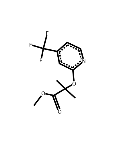 COC(=O)C(C)(C)Oc1cc(C(F)(F)F)ccn1